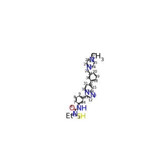 CCN(S)C(=O)Nc1cccc(-c2cnc3cc(-c4cccc(CN5CCN(C)CC5)c4)ccn23)c1